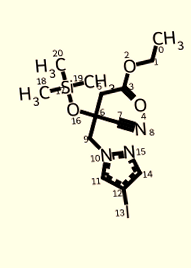 CCOC(=O)CC(C#N)(Cn1cc(I)cn1)O[Si](C)(C)C